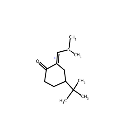 CN(C)/C=C1\CC(C(C)(C)C)CCC1=O